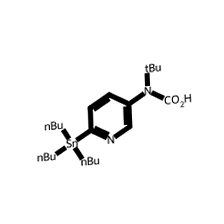 CCC[CH2][Sn]([CH2]CCC)([CH2]CCC)[c]1ccc(N(C(=O)O)C(C)(C)C)cn1